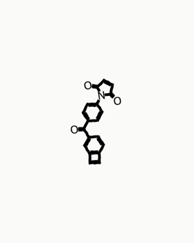 O=C(c1ccc(N2C(=O)C=CC2=O)cc1)c1ccc2c(c1)C=C2